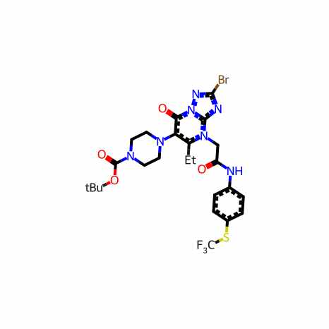 CCc1c(N2CCN(C(=O)OC(C)(C)C)CC2)c(=O)n2nc(Br)nc2n1CC(=O)Nc1ccc(SC(F)(F)F)cc1